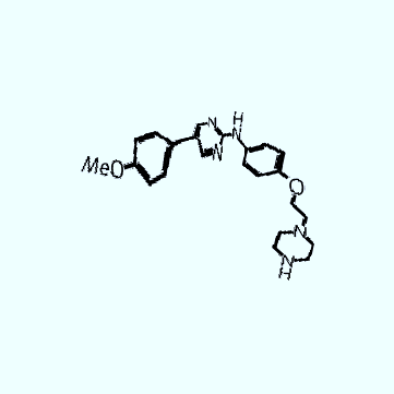 COc1ccc(-c2cnc(Nc3ccc(OCCN4CCNCC4)cc3)nc2)cc1